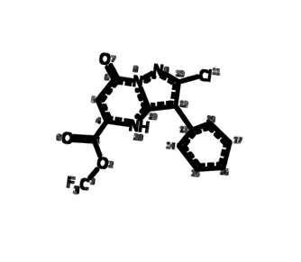 O=C(OC(F)(F)F)c1cc(=O)n2nc(Cl)c(-c3ccccc3)c2[nH]1